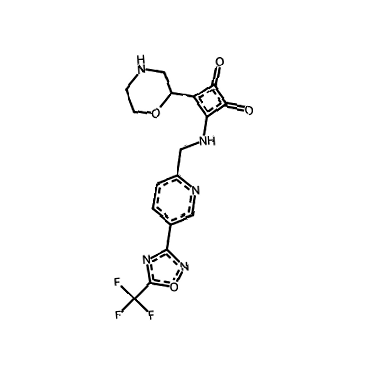 O=c1c(NCc2ccc(-c3noc(C(F)(F)F)n3)cn2)c(C2CNCCO2)c1=O